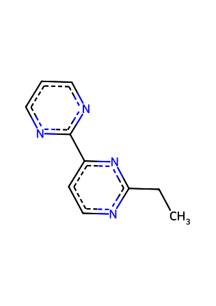 CCc1nccc(-c2ncccn2)n1